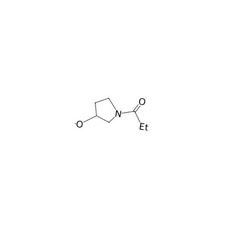 CCC(=O)N1CCC([O])C1